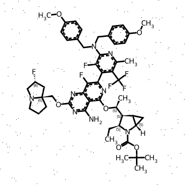 CC[C@H]1[C@@H]([C@H](C)Oc2nc(-c3c(F)c(N(Cc4ccc(OC)cc4)Cc4ccc(OC)cc4)nc(C)c3C(F)(F)F)c(F)c3nc(OC[C@@]45CCCN4C[C@H](F)C5)nc(N)c23)C2C[C@@H]2N1C(=O)OC(C)(C)C